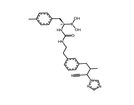 Cc1ccc(C[C@H](NC(=O)NCCc2cccc(CC(C)C(C#N)n3cncn3)c2)B(O)O)cc1